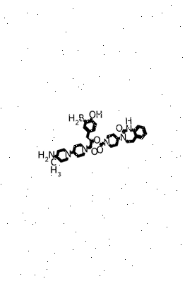 Bc1cc(C[C@@H](OC(=O)N2CCC(N3CCc4ccccc4NC3=O)CC2)C(=O)N2CCC(N3CCC(C)(N)CC3)CC2)ccc1O